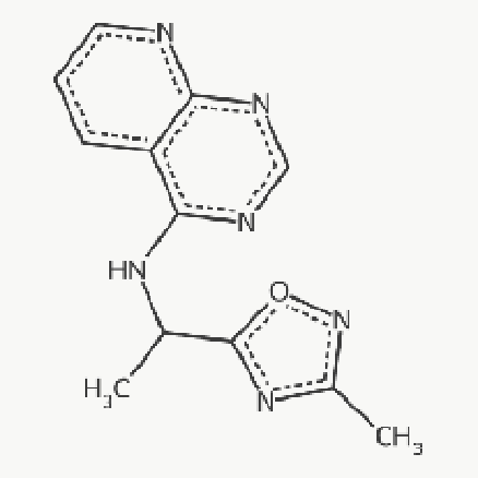 Cc1noc(C(C)Nc2ncnc3ncccc23)n1